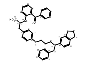 O=C(c1ccccc1)c1ccccc1N[C@@H](Cc1ccc(OCCCN(Cc2ccccc2)c2ccc3c(c2)CCC3)cc1)C(=O)O